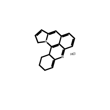 C1=CC2=Cc3cccc4c3=C(C3CCCC=C3N=4)N2C1.Cl